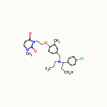 Cc1cc(CN(CCC(F)(F)F)C(CC(=O)O)c2ccc(Cl)cc2)ccc1OCCn1c(=O)ccn(C)c1=O